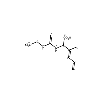 C=C/C=C(\C)C(NC(=O)OCC(Cl)(Cl)Cl)C(=O)O